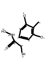 Cc1c(Cl)cccc1Cl.O=C(CS)NO